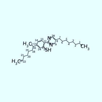 CCCCCCCCc1cnc(-c2ccc(C(C)CCCCCC)cc2S)nc1